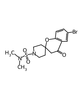 CN(C)S(=O)(=O)N1CCC2(CC1)CC(=O)c1cc(Br)ccc1O2